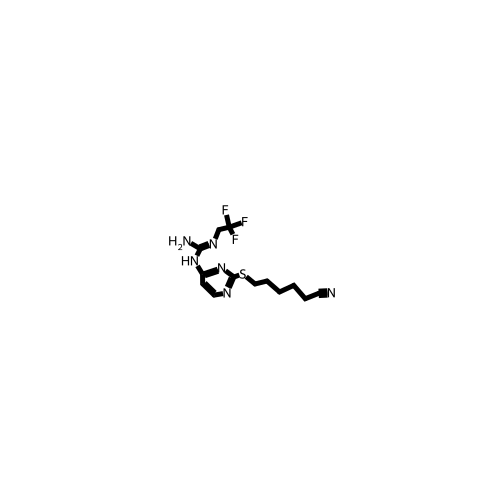 N#CCCCCCSc1nccc(NC(N)=NCC(F)(F)F)n1